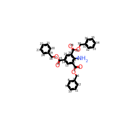 Nc1c(C(=O)OCc2ccccc2)cc(C(=O)OCc2ccccc2)cc1C(=O)OCc1ccccc1